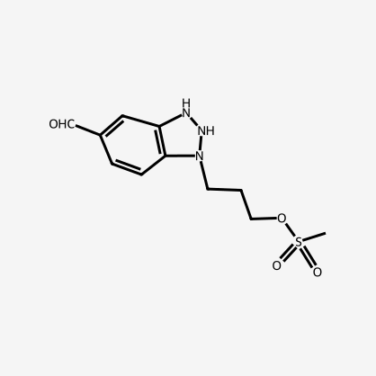 CS(=O)(=O)OCCCN1NNc2cc(C=O)ccc21